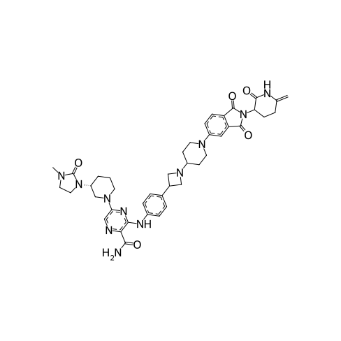 C=C1CCC(N2C(=O)c3ccc(N4CCC(N5CC(c6ccc(Nc7nc(N8CCC[C@@H](N9CCN(C)C9=O)C8)cnc7C(N)=O)cc6)C5)CC4)cc3C2=O)C(=O)N1